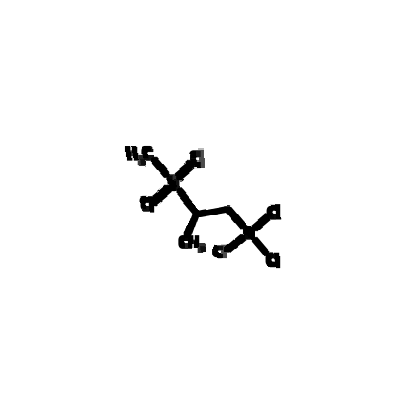 CC(C[Si](Cl)(Cl)Cl)[Si](C)(Cl)Cl